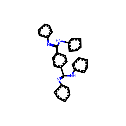 c1ccc(N=C(Nc2ccccc2)c2ccc(C(=Nc3ccccc3)Nc3ccccc3)cc2)cc1